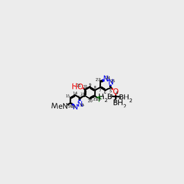 BC(B)(B)Oc1cc(-c2cc(O)c(-c3ccc(NC)nn3)cc2F)cnn1